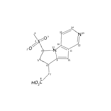 CS(=O)(=O)C1CC(CC(=O)O)c2cc3cnccc3n21